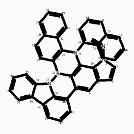 C=Nn1ccc2cc3c4c(c21)N(c1cccc2ccccc12)c1c(ccc2ccccc12)B4n1c2ccccc2c2cccc-3c21